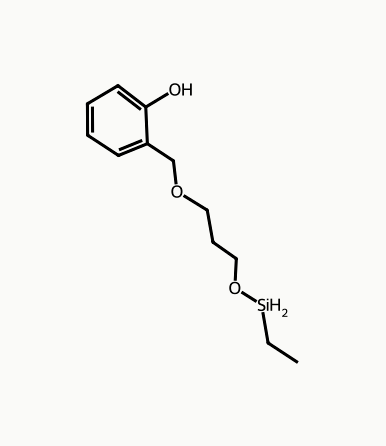 CC[SiH2]OCCCOCc1ccccc1O